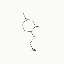 CC(=O)COC1CCN(C)CC1C